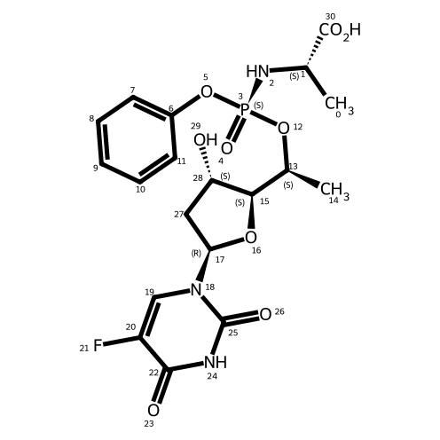 C[C@H](N[P@@](=O)(Oc1ccccc1)O[C@@H](C)[C@H]1O[C@@H](n2cc(F)c(=O)[nH]c2=O)C[C@@H]1O)C(=O)O